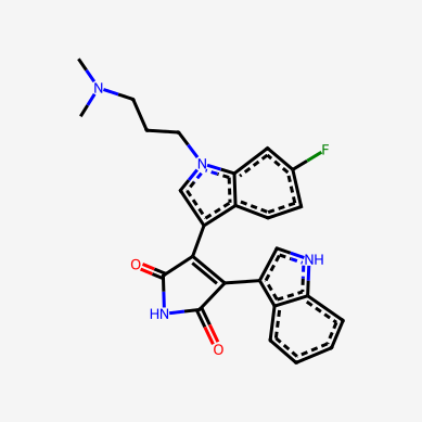 CN(C)CCCn1cc(C2=C(c3c[nH]c4ccccc34)C(=O)NC2=O)c2ccc(F)cc21